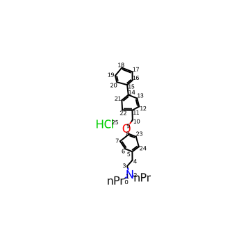 CCCN(CCC)CCc1ccc(OCc2ccc(-c3ccccc3)cc2)cc1.Cl